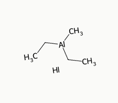 C[CH2][Al]([CH3])[CH2]C.I